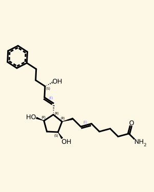 NC(=O)CCC/C=C/C[C@@H]1[C@@H](/C=C/[C@@H](O)CCc2ccccc2)[C@H](O)C[C@@H]1O